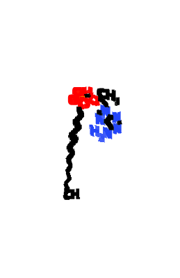 C#CCCCCCCCCCCCCCOP(=O)(O)CO[C@H](C)Cn1cnc2c(N)ncnc21